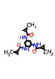 CC1CC1C(=O)Nc1cc(NC(=O)C2CC2C)cc(NC(=O)C2CC2C)c1